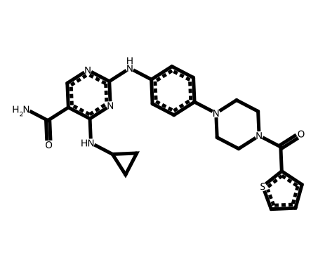 NC(=O)c1cnc(Nc2ccc(N3CCN(C(=O)c4cccs4)CC3)cc2)nc1NC1CC1